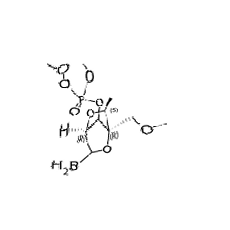 BC1O[C@@]2(COC)C(OP(=O)(OC)OOC)[C@@H]1O[C@H]2C